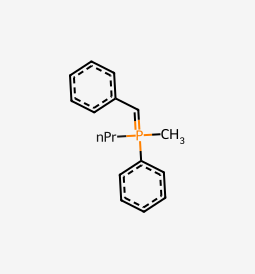 CCCP(C)(=Cc1ccccc1)c1ccccc1